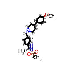 C[C@@H](NS(C)(=O)=O)c1ccc(CN2CCC(c3ccc(OC(F)(F)F)cc3)CC2)cc1